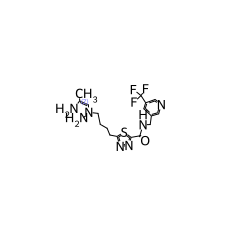 C/C(N)=C/N(N)CCCCc1nnc(C(=O)NCc2cncc(C(F)(F)F)c2)s1